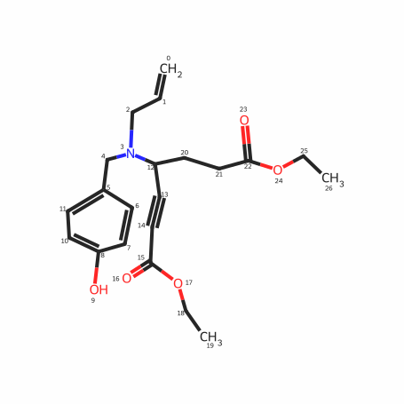 C=CCN(Cc1ccc(O)cc1)C(C#CC(=O)OCC)CCC(=O)OCC